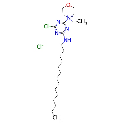 CCCCCCCCCCCCCCNc1nc(Cl)nc([N+]2(CC)CCOCC2)n1.[Cl-]